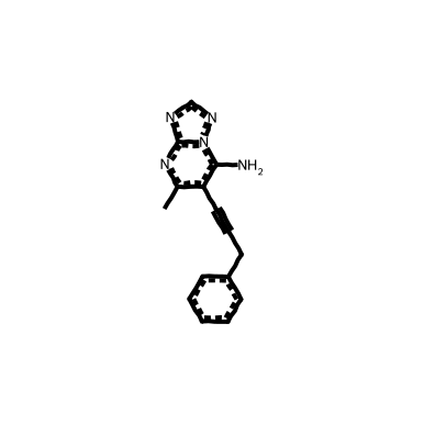 Cc1nc2ncnn2c(N)c1C#CCc1ccccc1